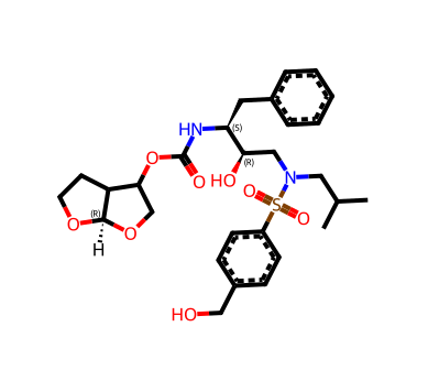 CC(C)CN(C[C@@H](O)[C@H](Cc1ccccc1)NC(=O)OC1CO[C@H]2OCCC12)S(=O)(=O)c1ccc(CO)cc1